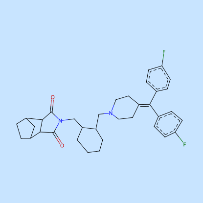 O=C1C2C3CCC(C3)C2C(=O)N1CC1CCCCC1CN1CCC(=C(c2ccc(F)cc2)c2ccc(F)cc2)CC1